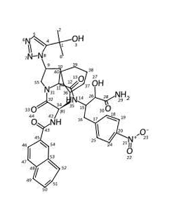 CC(C)(O)c1cnnn1C1CC(C(=O)NC(Cc2ccc([N+](=O)[O-])cc2)C(O)C(N)=O)N(C(=O)[C@@H](CC2CCCCC2)NC(=O)c2ccc3ccccc3c2)C1